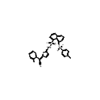 Cc1ccc(S(=O)(=O)Oc2cccc3cccc(S(=O)(=O)O/N=C4C=C/C(=C(\C#N)c5ccccc5C)S\4)c23)cc1